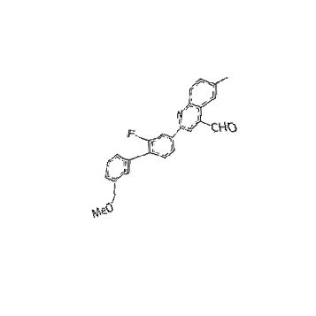 COCc1cccc(-c2ccc(-c3cc(C=O)c4cc(C)ccc4n3)cc2F)c1